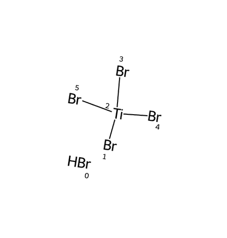 Br.[Br][Ti]([Br])([Br])[Br]